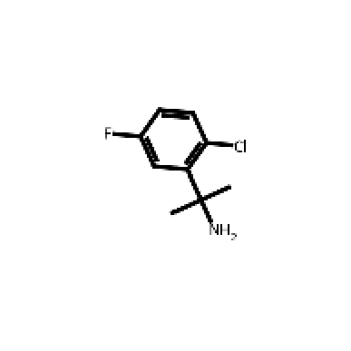 CC(C)(N)c1cc(F)ccc1Cl